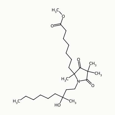 CCCCCCC(C)(O)CCN1C(=O)C(C)(C)C(=O)C1(C)CCCCCCC(=O)OC